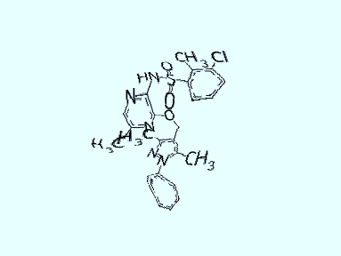 Cc1cnc(NS(=O)(=O)c2cccc(Cl)c2C)c(OCc2c(C)nn(-c3ccccc3)c2C)n1